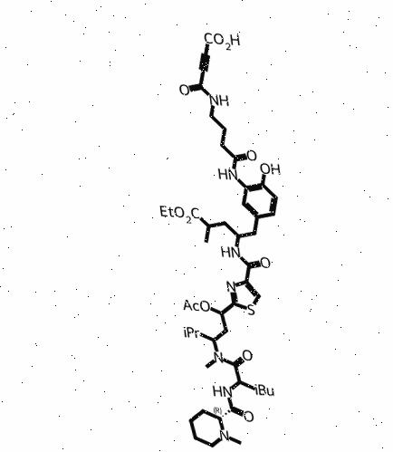 CCOC(=O)C(C)CC(Cc1ccc(O)c(NC(=O)CCCNC(=O)C#CC(=O)O)c1)NC(=O)c1csc(C(CC(C(C)C)N(C)C(=O)C(NC(=O)[C@H]2CCCCN2C)C(C)CC)OC(C)=O)n1